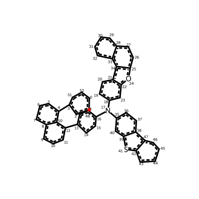 c1ccc(-c2cccc3cccc(-c4ccc(N(c5ccc6c(c5)oc5ccc7ccccc7c56)c5ccc6c(c5)sc5ccccc56)cc4)c23)cc1